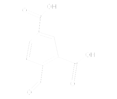 O=[C]c1ccc(C(=O)O)cc1C(=O)O